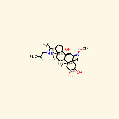 CO/N=C1\C=C2C(CC[C@]3(C)[C@@H](C(C)NCC(C)F)CC[C@@]23O)[C@@]2(C)C[C@H](O)[C@H](O)C[C@@H]12